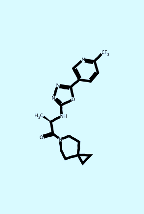 C[C@@H](Nc1nnc(-c2ccc(C(F)(F)F)nc2)o1)C(=O)N1CCC2(CC1)CC2